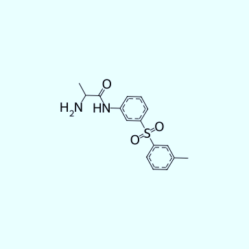 Cc1cccc(S(=O)(=O)c2cccc(NC(=O)C(C)N)c2)c1